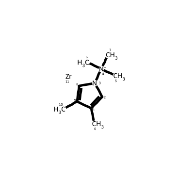 Cc1cn([N+](C)(C)C)cc1C.[Zr]